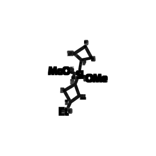 CCC1CC([Si](OC)(OC)C2CCC2)C1